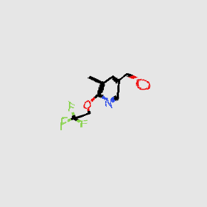 Cc1cc(C=O)cnc1OCC(F)(F)F